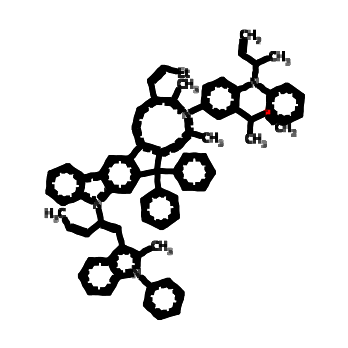 C=CC(C)c1cc(-n2c(C)cc3c(ccc(/C=C\CC)c2C)-c2cc4c5ccccc5n(C(/C=C\C)=C/c5c(C)n(-c6ccccc6)c6ccccc56)c4cc2C3(c2ccccc2)c2ccccc2)ccc1N(c1ccccc1)C(C)C=C